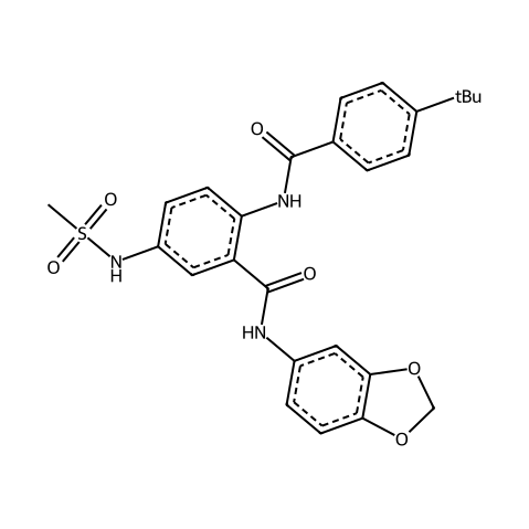 CC(C)(C)c1ccc(C(=O)Nc2ccc(NS(C)(=O)=O)cc2C(=O)Nc2ccc3c(c2)OCO3)cc1